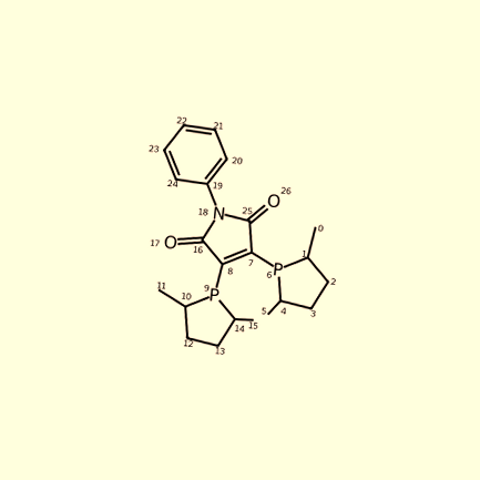 CC1CCC(C)P1C1=C(P2C(C)CCC2C)C(=O)N(c2ccccc2)C1=O